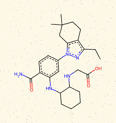 CCc1nn(-c2ccc(C(N)=O)c(NC3CCCCC3NCC(=O)O)c2)c2c1CCC(C)(C)C2